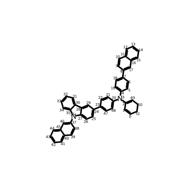 C1=CC(N(c2ccc(-c3ccc4ccccc4c3)cc2)c2ccc(-c3ccc4c(c3)c3ccccc3n4-c3ccc4ccccc4c3)cc2)=CCC1